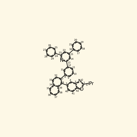 CC(C)c1nc2cc(-c3c(-c4cccc(-c5cc(-c6ccccc6)cc(-c6ccccc6)n5)c4)ccc4ccccc34)ccc2o1